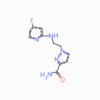 NC(=O)c1[c]cn(CCNc2cc(F)ccn2)n1